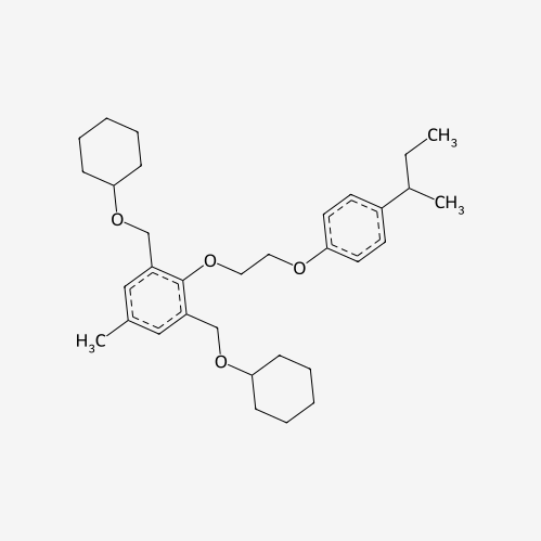 CCC(C)c1ccc(OCCOc2c(COC3CCCCC3)cc(C)cc2COC2CCCCC2)cc1